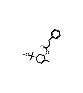 CC1=CC[C@@H](C(C)(C)O)C[C@@H]1OC(=O)CCc1ccccc1